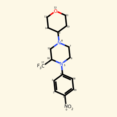 O=[N+]([O-])c1ccc(N2CCN(C3CCOCC3)CC2C(F)(F)F)cc1